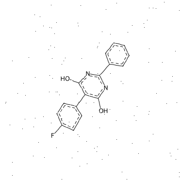 Oc1nc(-c2ccccc2)nc(O)c1-c1ccc(F)cc1